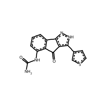 NC(=O)Nc1cccc2c1C(=O)c1c-2n[nH]c1-c1ccsc1